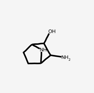 NC1C2CCC(N2)C1O